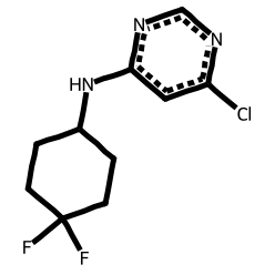 FC1(F)CCC(Nc2cc(Cl)ncn2)CC1